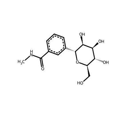 CNC(=O)c1cccc([C@H]2O[C@H](CO)[C@@H](O)[C@H](O)[C@@H]2O)c1